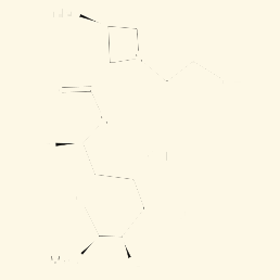 CCCC[C@H]1CN(CCO)[C@@H]1C(=O)N[C@H](C(C)C)[C@H]1O[C@H](SC)[C@H](O)[C@@H](O)[C@H]1O